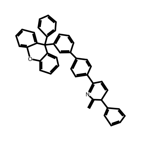 C=C1N=C(c2ccc(-c3cccc(C4(c5ccccc5)c5ccccc5Oc5ccccc54)c3)cc2)C=CC1c1ccccc1